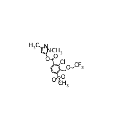 Cc1cc(OC(=O)c2ccc(S(C)(=O)=O)c(COCC(F)(F)F)c2Cl)n(C)n1